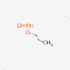 CCCO[PH]=O